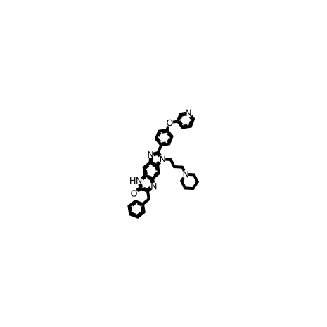 O=c1[nH]c2cc3nc(-c4ccc(Oc5cccnc5)cc4)n(CCCN4CCCCC4)c3cc2nc1Cc1ccccc1